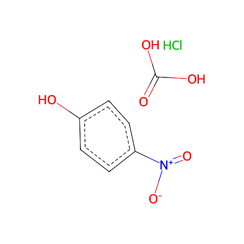 Cl.O=C(O)O.O=[N+]([O-])c1ccc(O)cc1